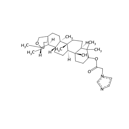 CC1(C)CC[C@]23CC[C@]4(C)[C@H](CC[C@@H]5[C@@]6(C)CCC(OC(=O)Cn7ccnc7)C(C)(C)[C@@H]6CC[C@]54C)[C@H]2[C@H]1OC3